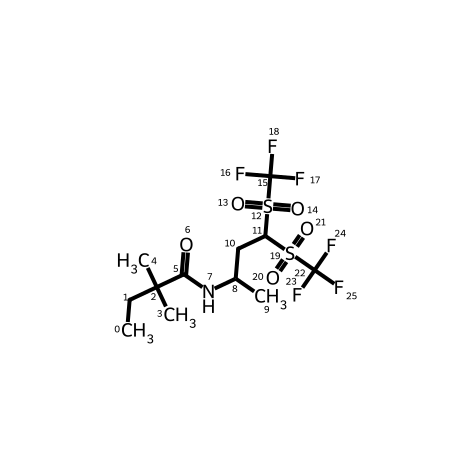 CCC(C)(C)C(=O)NC(C)CC(S(=O)(=O)C(F)(F)F)S(=O)(=O)C(F)(F)F